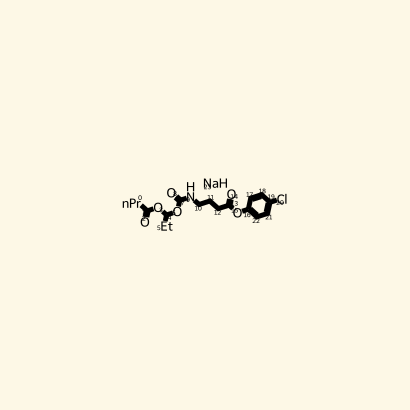 CCCC(=O)OC(CC)OC(=O)NCCCC(=O)Oc1ccc(Cl)cc1.[NaH]